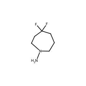 NN1CCCC(F)(F)CC1